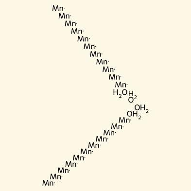 O.O.O.O.[Mn].[Mn].[Mn].[Mn].[Mn].[Mn].[Mn].[Mn].[Mn].[Mn].[Mn].[Mn].[Mn].[Mn].[Mn].[Mn].[Mn].[Mn].[Mn].[Mn].[Mn].[Mn]